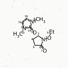 CCON1CCCC1=O.Cn1ccn(C)c1=O